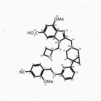 COc1cc(C#N)ccc1COc1cccc(C23CCN(Cc4nc5c(OC)cc(C(=O)O)cc5n4C[C@@H]4CCO4)CC2C3)n1